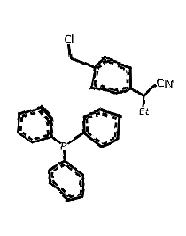 CCC(C#N)c1ccc(CCl)cc1.c1ccc(P(c2ccccc2)c2ccccc2)cc1